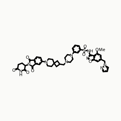 COc1cc(Cn2cccn2)cc2onc(NS(=O)(=O)c3cccc(N4CCN(CC5CC6(CCN(c7ccc8c(c7)C(=O)N(C7CCC(=O)NC7=O)C8=O)CC6)C5)CC4)c3)c12